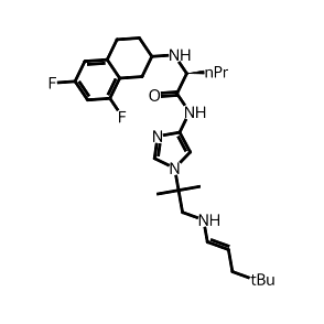 CCC[C@H](NC1CCc2cc(F)cc(F)c2C1)C(=O)Nc1cn(C(C)(C)CN/C=C/CC(C)(C)C)cn1